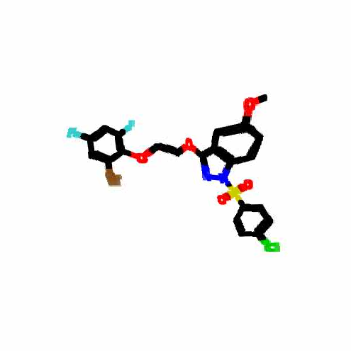 COc1ccc2c(c1)c(OCCOc1c(F)cc(F)cc1Br)nn2S(=O)(=O)c1ccc(Cl)cc1